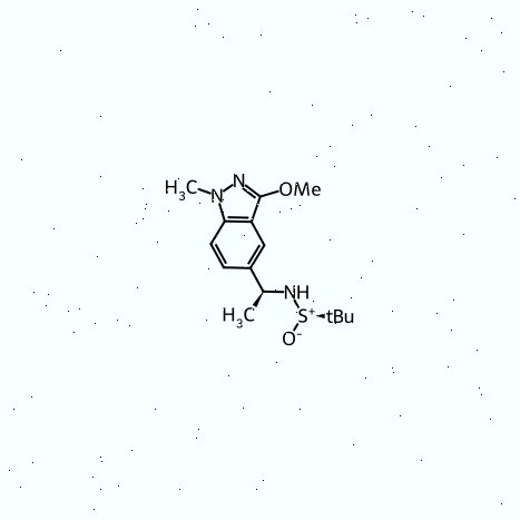 COc1nn(C)c2ccc([C@H](C)N[S@+]([O-])C(C)(C)C)cc12